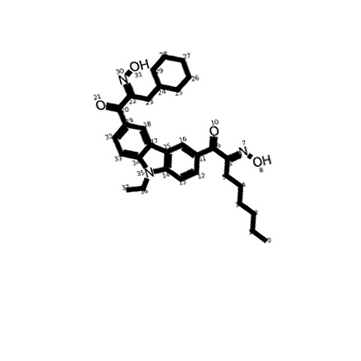 CCCCCC/C(=N\O)C(=O)c1ccc2c(c1)c1cc(C(=O)/C(CC3CCCCC3)=N/O)ccc1n2CC